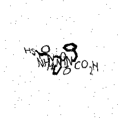 C[C@@H](NC(=O)[C@@H](N)CS)C(=O)N1CCC[C@H]1C(=O)N[C@H](Cc1ccccc1)C(=O)O